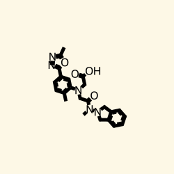 Cc1nnc(-c2ccc(C)c(N(CC(=O)O)CC(=O)N(C)N3Cc4ccccc4C3)c2)o1